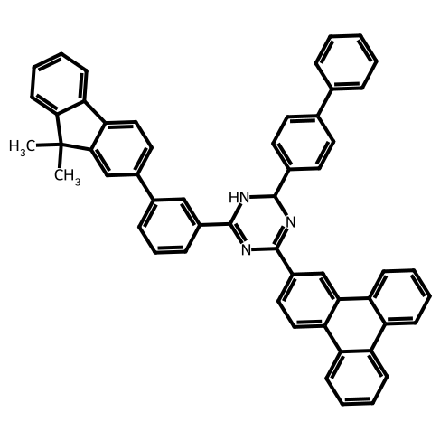 CC1(C)c2ccccc2-c2ccc(-c3cccc(C4=NC(c5ccc6c7ccccc7c7ccccc7c6c5)=NC(c5ccc(-c6ccccc6)cc5)N4)c3)cc21